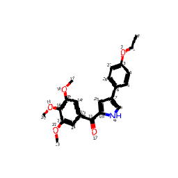 CCOc1ccc(-c2c[nH]c(C(=O)c3cc(OC)c(OC)c(OC)c3)c2)cc1